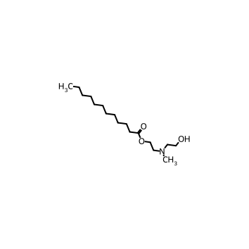 CCCCCCCCCCCC(=O)OCCN(C)CCO